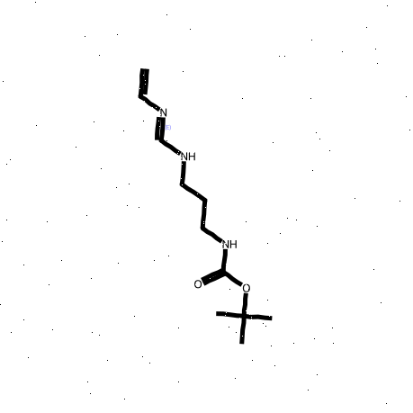 C=C/N=C/NCCCNC(=O)OC(C)(C)C